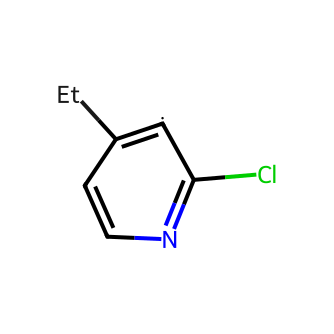 CCc1[c]c(Cl)ncc1